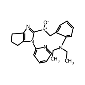 CCN(CC)c1ccccc1C[S+]([O-])c1nc2c(n1-c1ccccn1)CCC2